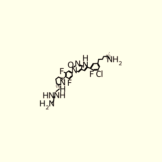 C[C@H](N)CCCc1cc(Cl)c(F)c(-c2cc3cn(-c4cc(F)c([C@@H]5CCC[C@@H](CCNC(=N)CN)N5)c(F)c4)c(=O)nc3[nH]2)c1